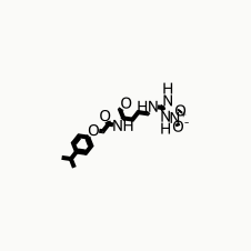 CC(C)c1ccc(OCC(=O)NC(C=O)CCCNC(=N)N[N+](=O)[O-])cc1